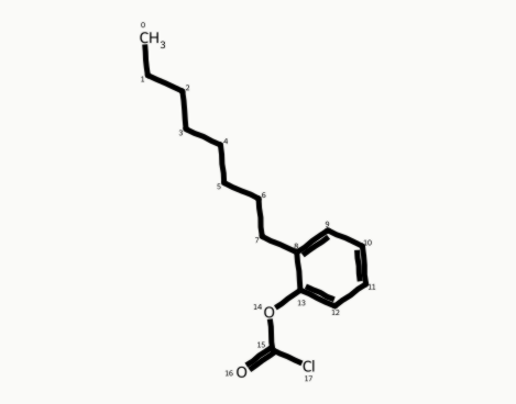 CCCCCCCCc1ccccc1OC(=O)Cl